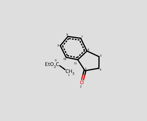 CCOC(C)=O.O=C1CCc2ccccc21